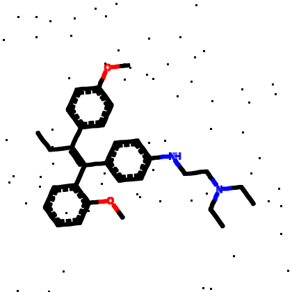 CCC(=C(c1ccc(NCCN(CC)CC)cc1)c1ccccc1OC)c1ccc(OC)cc1